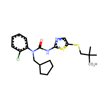 CC(C)(CSc1cnc(NC(=O)N(CC2CCCC2)c2ccccc2Cl)s1)C(=O)O